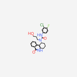 O=C(Nc1ccc(F)c(Cl)c1)N(CCCO)[C@@H]1CCCc2[nH]c(=O)c3ccccc3c21